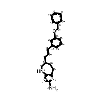 Nc1nc2c(s1)NCC(CC=Cc1cccc(OCc3ccccc3)c1)CC2